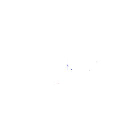 CCC(C)C(=O)NCC1CC1